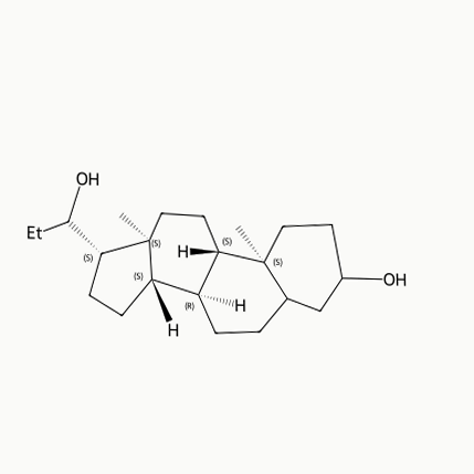 CCC(O)[C@H]1CC[C@H]2[C@@H]3CCC4CC(O)CC[C@]4(C)[C@H]3CC[C@]12C